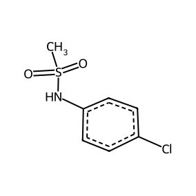 CS(=O)(=O)Nc1ccc(Cl)cc1